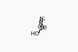 [N-]=[N+]=NCS(=O)(=O)CCCO